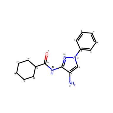 Nc1cn(-c2ccccc2)nc1NC(=O)C1CCCCC1